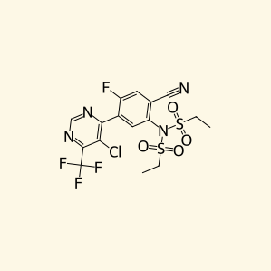 CCS(=O)(=O)N(c1cc(-c2ncnc(C(F)(F)F)c2Cl)c(F)cc1C#N)S(=O)(=O)CC